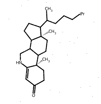 CC(C)CCCC(C)C1CCC2C3CNC4=CC(=O)CC[C@]4(C)C3CC[C@]12C